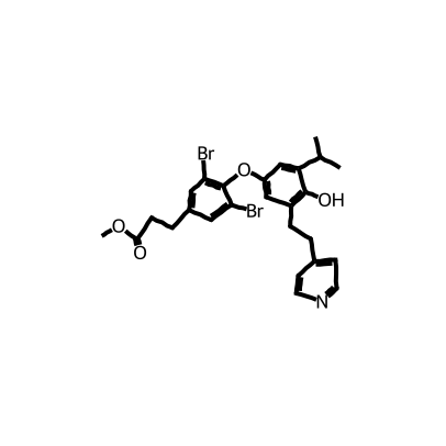 COC(=O)CCc1cc(Br)c(Oc2cc(CCc3ccncc3)c(O)c(C(C)C)c2)c(Br)c1